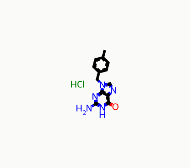 Cc1ccc(Cn2cnc3c(=O)[nH]c(N)nc32)cc1.Cl